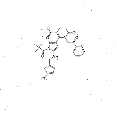 COC(=O)c1ccc(=O)n(CC(=O)c2ccccn2)c1-c1cc(NCc2ccc(Cl)s2)n(C(=O)C(C)(C)C)n1